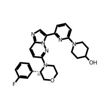 OC1CCN(c2cccc(-c3cnc4ccc(N5CCOC[C@@H]5c5cccc(F)c5)nn34)n2)CC1